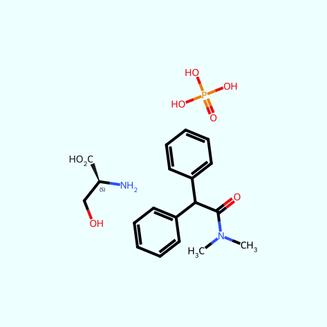 CN(C)C(=O)C(c1ccccc1)c1ccccc1.N[C@@H](CO)C(=O)O.O=P(O)(O)O